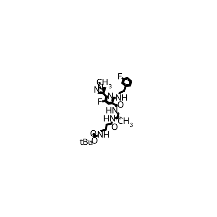 C[C@H](CNC(=O)c1cc(F)c(-c2cnn(C)c2)nc1NCCc1cccc(F)c1)NC(=O)CCCNC(=O)OC(C)(C)C